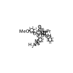 COc1ccc(C[C@H]2C(=O)N(Cc3cccc4sc(N)nc34)C[C@H]3N2C(=O)CN3N(C(=O)NCc2ccccc2)C(C)C)cc1